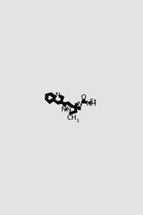 CCNC(=O)N1CC2(CC(C)n3nc(-c4cnc5ccccc5c4)cc32)C1